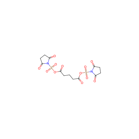 O=C(CCCC(=O)OS(=O)(=O)N1C(=O)CCC1=O)OS(=O)(=O)N1C(=O)CCC1=O